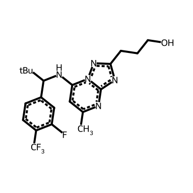 Cc1cc(NC(c2ccc(C(F)(F)F)c(F)c2)C(C)(C)C)n2nc(CCCO)nc2n1